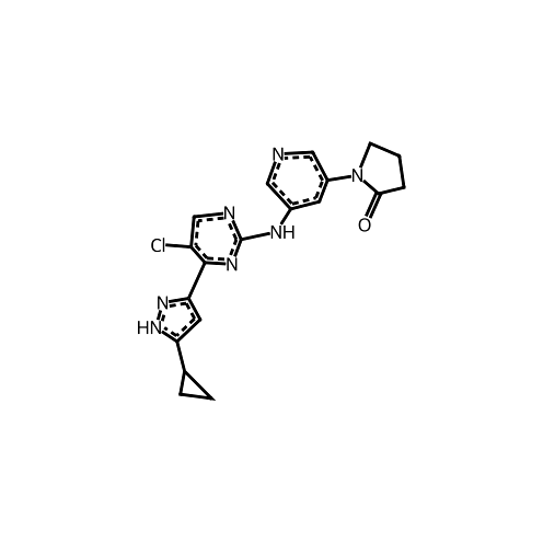 O=C1CCCN1c1cncc(Nc2ncc(Cl)c(-c3cc(C4CC4)[nH]n3)n2)c1